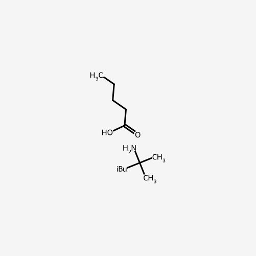 CCC(C)C(C)(C)N.CCCCC(=O)O